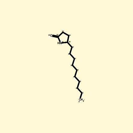 [CH2]CCCCCCCCCC1CCC(=O)N1